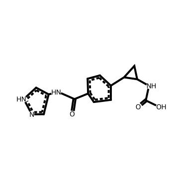 O=C(O)NC1CC1c1ccc(C(=O)Nc2cn[nH]c2)cc1